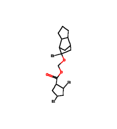 CCC1CC(CC)C(C(=O)OCOC2(CC)CC3CC2C2CCCC32)C1